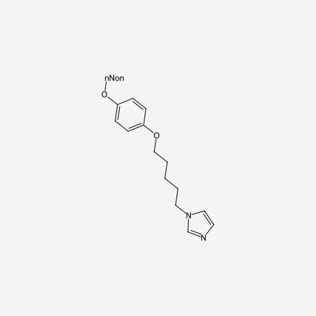 CCCCCCCCCOc1ccc(OCCCCCn2ccnc2)cc1